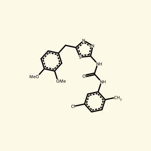 COc1ccc(Cc2nnc(NC(=O)Nc3cc(Cl)ccc3C)s2)cc1OC